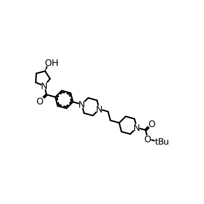 CC(C)(C)OC(=O)N1CCC(CCN2CCN(c3ccc(C(=O)N4CC[C@@H](O)C4)cc3)CC2)CC1